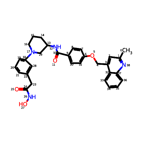 Cc1cc(COc2ccc(C(=O)NC3CCCN(c4cccc(CC(=O)NO)c4)C3)cc2)c2ccccc2n1